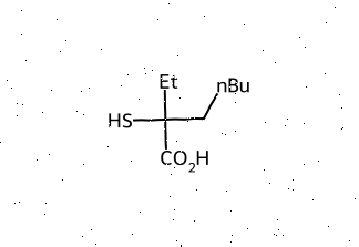 CCCCCC(S)(CC)C(=O)O